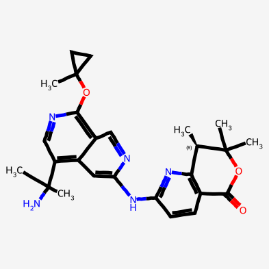 C[C@@H]1c2nc(Nc3cc4c(C(C)(C)N)cnc(OC5(C)CC5)c4cn3)ccc2C(=O)OC1(C)C